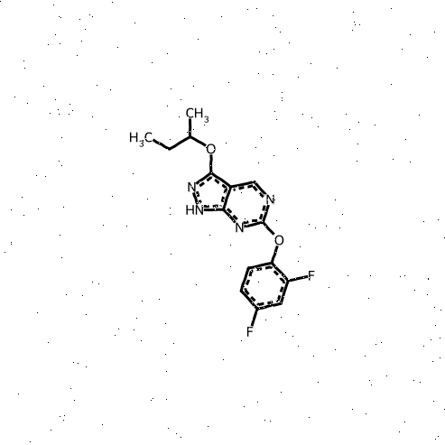 CCC(C)Oc1n[nH]c2nc(Oc3ccc(F)cc3F)ncc12